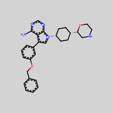 Nc1ncnc2c1c(-c1cccc(OCc3ccccc3)c1)cn2[C@H]1CC[C@@H](C2CNCCO2)CC1